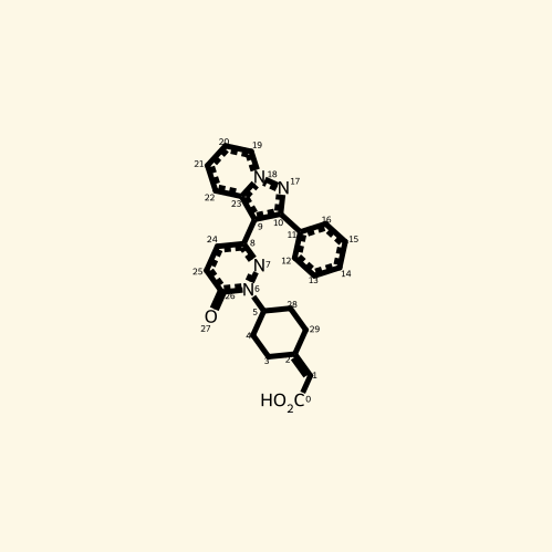 O=C(O)C=C1CCC(n2nc(-c3c(-c4ccccc4)nn4ccccc34)ccc2=O)CC1